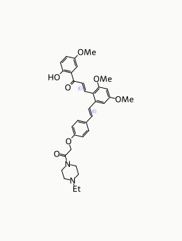 CCN1CCN(C(=O)COc2ccc(/C=C/c3cc(OC)cc(OC)c3/C=C/C(=O)c3cc(OC)ccc3O)cc2)CC1